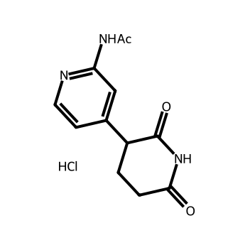 CC(=O)Nc1cc(C2CCC(=O)NC2=O)ccn1.Cl